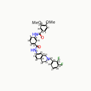 COc1ccc(C(=O)Nc2cccc(C(=O)Nc3ccc4c(c3)CN(Cc3cccc(F)c3F)CC4)c2)cc1OC